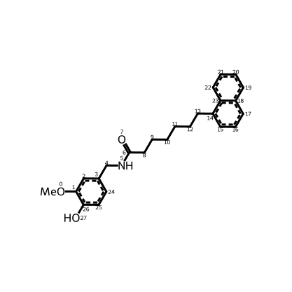 COc1cc(CNC(=O)CCCCCCc2cccc3ccccc23)ccc1O